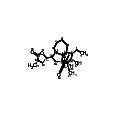 CC[C@@H]1C2=C3N(CCCC2)[C@H]([C@@H]2C[C@H](C)C(=O)O2)C[C@@]32OC(=O)[C@@H](C)[C@H]2[C@H]1O